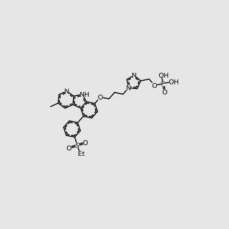 CCS(=O)(=O)c1cccc(-c2ccc(OCCCn3cnc(COP(=O)(O)O)c3)c3[nH]c4ncc(C)cc4c23)c1